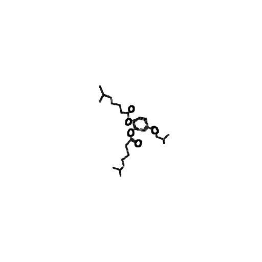 CC(C)CCCCC(=O)Oc1ccc(OCC(C)C)cc1OC(=O)CCCCC(C)C